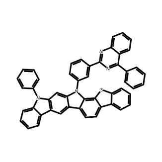 c1ccc(-c2nc(-c3cccc(-n4c5cc6c(cc5c5ccc7c8ccccc8sc7c54)c4ccccc4n6-c4ccccc4)c3)nc3ccccc23)cc1